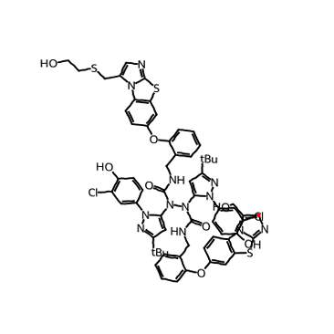 CC(C)(C)c1cc(N(C(=O)NCc2ccccc2Oc2ccc3c(c2)sc2ncc(CO)n23)N(C(=O)NCc2ccccc2Oc2ccc3c(c2)sc2ncc(CSCCO)n23)c2cc(C(C)(C)C)nn2-c2ccc(O)c(Cl)c2)n(-c2ccc(O)c(Cl)c2)n1